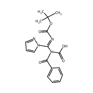 CC(C)(C)OC(=O)N=C(N(C(=O)O)C(=O)c1ccccc1)n1cccn1